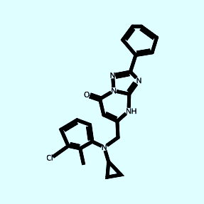 Cc1c(Cl)cccc1N(Cc1cc(=O)n2nc(-c3ccccc3)nc2[nH]1)C1CC1